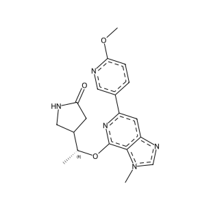 COc1ccc(-c2cc3ncn(C)c3c(O[C@H](C)C3CNC(=O)C3)n2)cn1